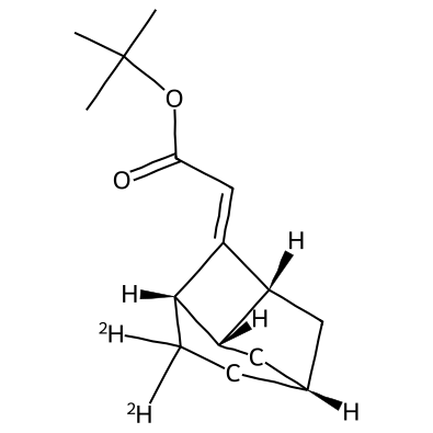 [2H]C1([2H])C[C@@H]2C[C@@H]3[C@H]1C(=CC(=O)OC(C)(C)C)[C@@H]3C2